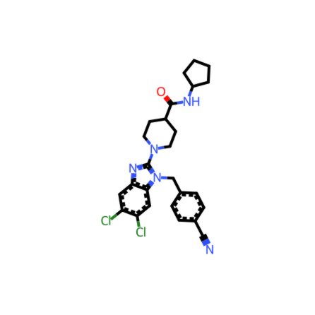 N#Cc1ccc(Cn2c(N3CCC(C(=O)NC4CCCC4)CC3)nc3cc(Cl)c(Cl)cc32)cc1